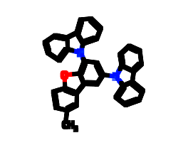 Cc1ccc2oc3c(-n4c5ccccc5c5ccccc54)cc(-n4c5ccccc5c5ccccc54)cc3c2c1